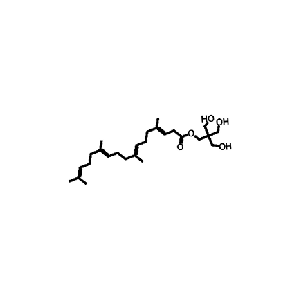 CC(C)=CCCC(C)=CCCC(C)=CCCC(C)=CCC(=O)OCC(CO)(CO)CO